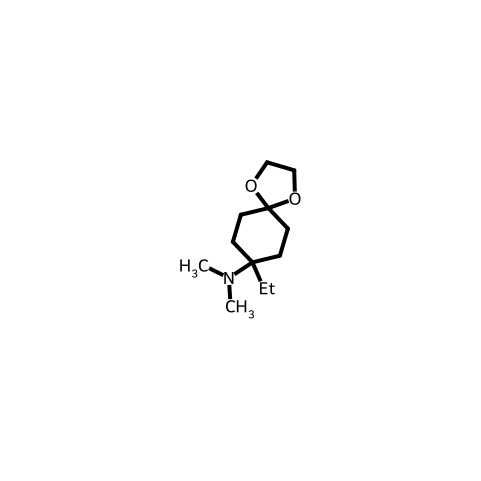 CCC1(N(C)C)CCC2(CC1)OCCO2